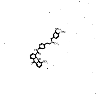 COc1ccc(CN(C)CCc2ccc(NC(=O)c3cccc4c(=O)c5cccc([N+](=O)[O-])c5[nH]c34)cc2)cc1OC